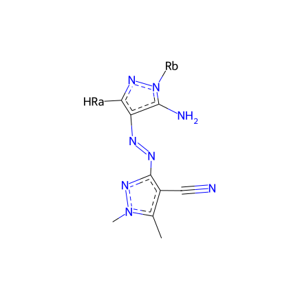 Cc1c(C#N)c(N=Nc2[c]([RaH])n[n]([Rb])c2N)nn1C